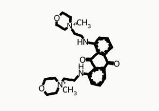 C[N+]1(CCNc2cccc3c2C(=O)c2c(NCC[N+]4(C)CCOCC4)cccc2C3=O)CCOCC1